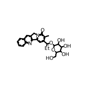 CC[C@H](OC1OC(CO)C(O)C(O)C1O)c1cc2n(c(=O)c1C)Cc1cc3ccccc3nc1-2